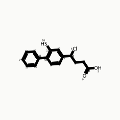 O=C(O)CCC(Cl)c1ccc(-c2ccccc2)c(S)c1